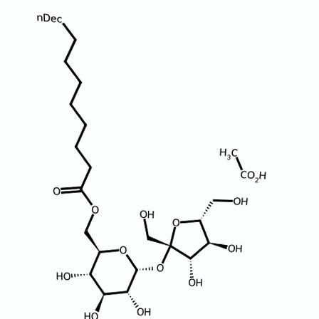 CC(=O)O.CCCCCCCCCCCCCCCCCC(=O)OC[C@H]1O[C@H](O[C@]2(CO)O[C@H](CO)[C@@H](O)[C@@H]2O)[C@H](O)[C@@H](O)[C@@H]1O